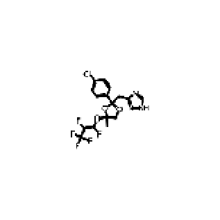 CC1(OC(F)=C(F)C(F)(F)F)COC(Cc2nc[nH]n2)(c2ccc(Cl)cc2)O1